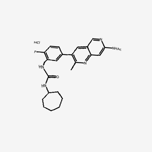 CC(=O)Nc1cc2nc(C)c(-c3ccc(F)c(NC(=O)NC4CCCCCC4)c3)cc2cn1.Cl